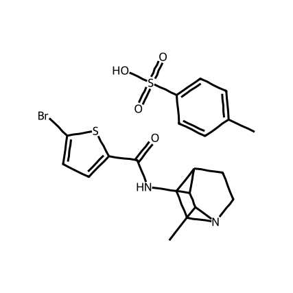 CC1C(NC(=O)c2ccc(Br)s2)C2CCN1CC2.Cc1ccc(S(=O)(=O)O)cc1